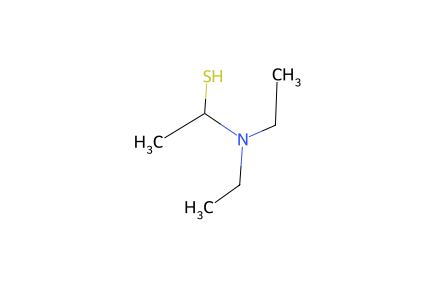 CCN(CC)C(C)S